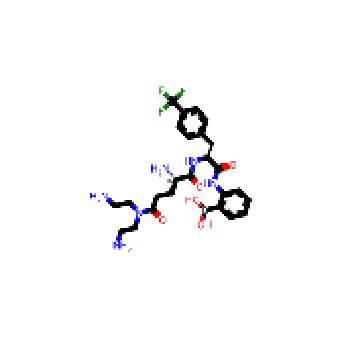 NCCN(CCN)C(=O)CC[C@H](N)C(=O)N[C@@H](Cc1ccc(C(F)(F)F)cc1)C(=O)Nc1ccccc1B(O)O